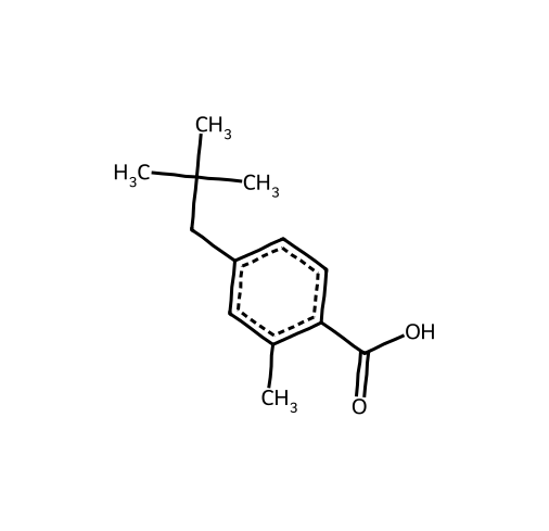 Cc1cc(CC(C)(C)C)ccc1C(=O)O